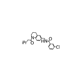 CC(C)CC(=O)N1CCCc2cc(CNC(=O)c3cccc(Cl)c3)ccc21